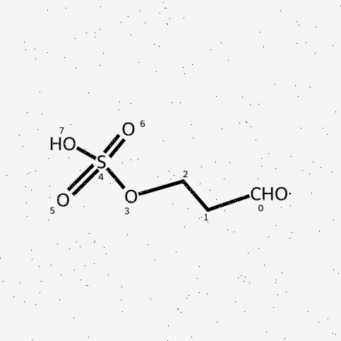 O=[C]CCOS(=O)(=O)O